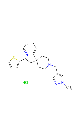 Cl.Cn1cc(CN2CCC(CCc3cccs3)(c3ccccn3)CC2)cn1